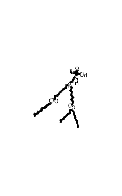 CCCCCCCCCOC(=O)CCCCCCCN(CCCCCCCC(=O)OC(CCCCCCCC)CCCCCCCC)CCCNC1=C(N(C)C)C(=O)C1O